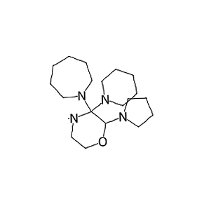 C1CCCN(C2(N3CCCCC3)[N]CCOC2N2CCCC2)CC1